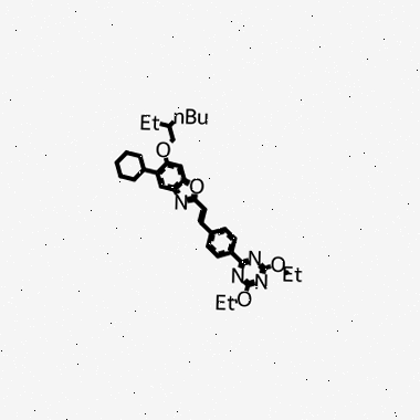 CCCCC(CC)COc1cc2oc(C=Cc3ccc(-c4nc(OCC)nc(OCC)n4)cc3)nc2cc1C1CCCCC1